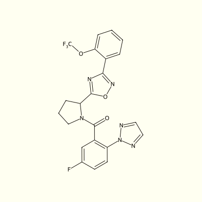 O=C(c1cc(F)ccc1-n1nccn1)N1CCCC1c1nc(-c2ccccc2OC(F)(F)F)no1